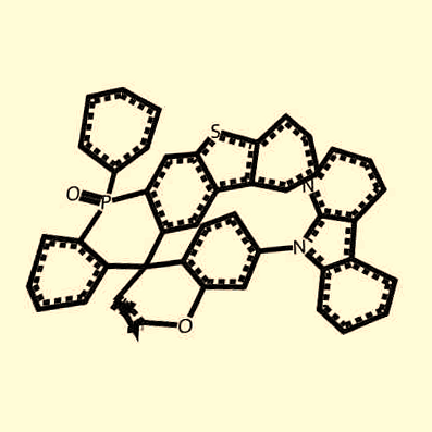 O=P1(c2ccccc2)c2ccccc2C2(c3ccccc3Oc3cc(-n4c5ccccc5c5cccnc54)ccc32)c2cc3c(cc21)sc1ccccc13